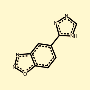 c1nnc(-c2ccc3onnc3c2)[nH]1